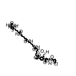 O=C(CCCCCNC(=O)CCCC[C@@H]1SC[C@@H]2NC(=O)N[C@@H]21)NCCCCCNC(=O)CC(CCCC1OCCN(c2ccc(N3C[C@H](CNC(=O)c4ccc(Cl)s4)OC3=O)c(F)c2)C1=O)C(=O)O